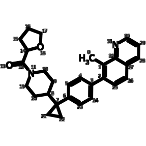 Cc1c(-c2ccc(C3(C4CCN(C(=O)C5CCCO5)CC4)CC3)cc2)ccc2cccnc12